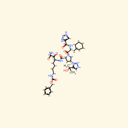 CC(C)(O)c1cnnn1[C@H]1C[C@@H](C(=O)NC(CCCCNC(=O)OCc2ccccc2)C(=O)C(N)=O)N(C(=O)[C@@H](CC2CCCCC2)NC(=O)c2c[nH]nn2)C1